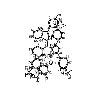 Cc1ccc(C2=N/C(=C(/c3ccccc3)c3c(-c4ccc(C(C)(C)C)cc4)cc(-c4ccc(C(C)(C)C)cc4)n3B(Oc3ccc(C(F)F)c(F)c3)Oc3ccc(C(F)(F)F)c(F)c3)c3ccccc32)cc1